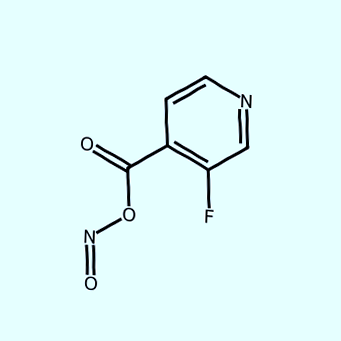 O=NOC(=O)c1ccncc1F